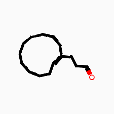 O=CCC/C1=C\CCCCCCCCCC1